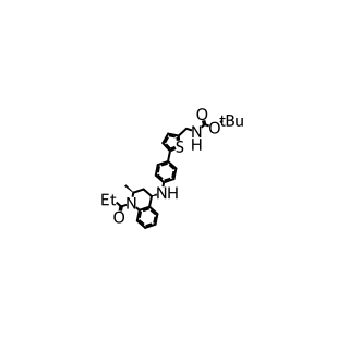 CCC(=O)N1c2ccccc2[C@H](Nc2ccc(-c3ccc(CNC(=O)OC(C)(C)C)s3)cc2)C[C@@H]1C